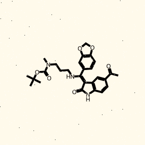 CC(=O)c1ccc2c(c1)/C(=C(/NCCCN(C)C(=O)OC(C)(C)C)c1ccc3c(c1)OCO3)C(=O)N2